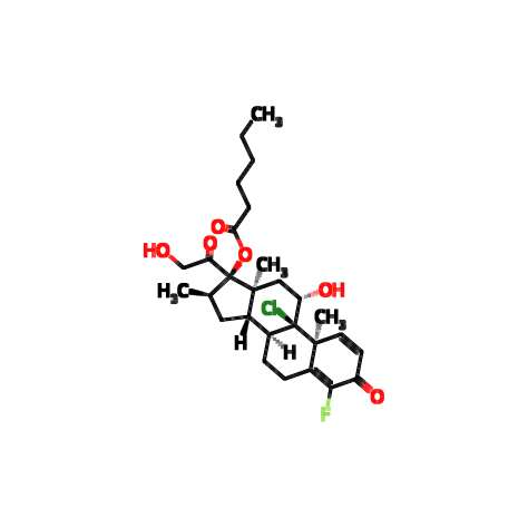 CCCCCC(=O)O[C@]1(C(=O)CO)[C@H](C)C[C@H]2[C@@H]3CCC4=C(F)C(=O)C=C[C@]4(C)[C@@]3(Cl)[C@@H](O)C[C@@]21C